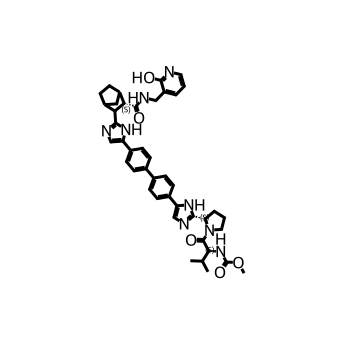 COC(=O)N[C@H](C(=O)N1CCC[C@H]1c1ncc(-c2ccc(-c3ccc(-c4cnc(C5C6CCC(C6)[C@@H]5C(=O)NCc5cccnc5O)[nH]4)cc3)cc2)[nH]1)C(C)C